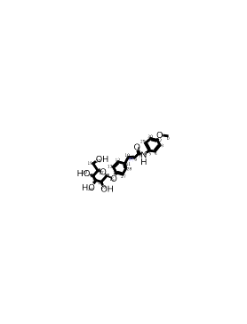 COc1ccc(NC(=O)/C=C/c2ccc(O[C@@H]3OC(CO)[C@H](O)C(O)C3O)cc2)cc1